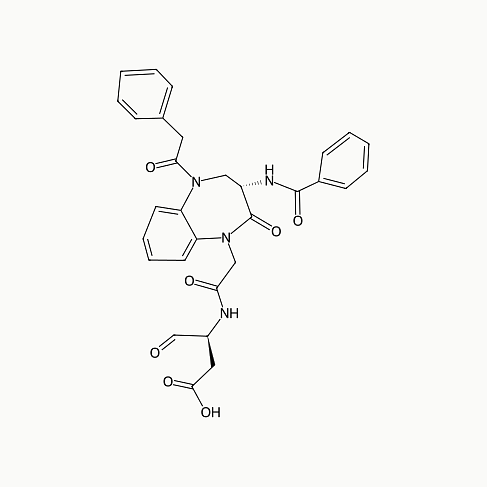 O=C[C@H](CC(=O)O)NC(=O)CN1C(=O)[C@@H](NC(=O)c2ccccc2)CN(C(=O)Cc2ccccc2)c2ccccc21